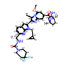 COc1cc(C(=O)N2[C@H]3CC[C@@H]2[C@H](N)C3)cc2nc(-c3cc4ccc([C@@H](C)NC(=O)N5CCC(F)(F)CC5)nc4n3CC3CC3)c(C)n12